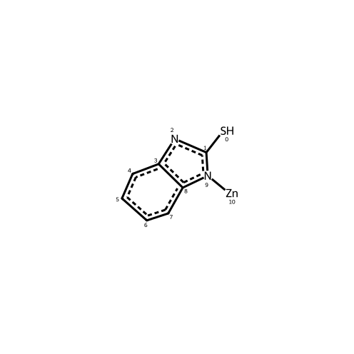 Sc1nc2ccccc2[n]1[Zn]